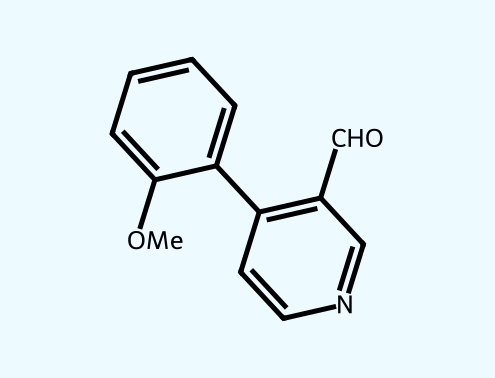 COc1ccccc1-c1ccncc1C=O